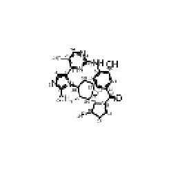 Cc1ncc(-c2nc(Nc3ccc(C(=O)N4CCC(F)C4)cc3)ncc2F)n1C1CCOCC1.Cl